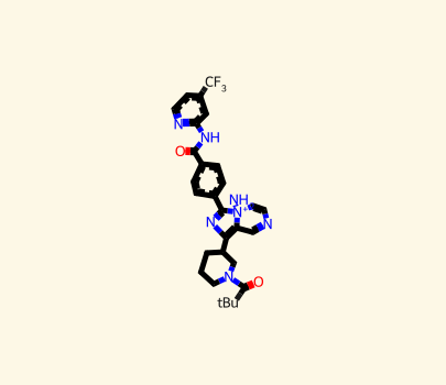 CC(C)(C)C(=O)N1CCCC(C2=C3C=NC=C[N+]3(N)C(c3ccc(C(=O)Nc4cc(C(F)(F)F)ccn4)cc3)=N2)C1